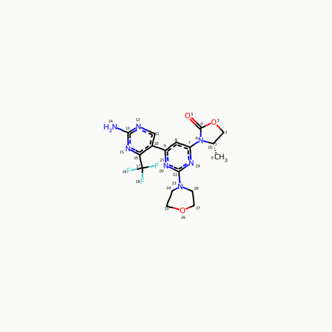 C[C@H]1COC(=O)N1c1cc(-c2cnc(N)nc2C(F)(F)F)nc(N2CCOCC2)n1